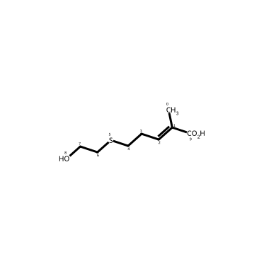 CC(=CCCSCCO)C(=O)O